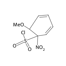 COC1C=CC=CC1([N+](=O)[O-])S(=O)(=O)Cl